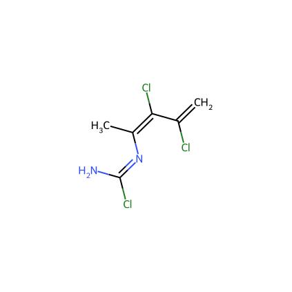 C=C(Cl)/C(Cl)=C(C)\N=C(/N)Cl